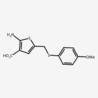 COc1ccc(SCc2cc(C(=O)O)c(N)s2)cc1